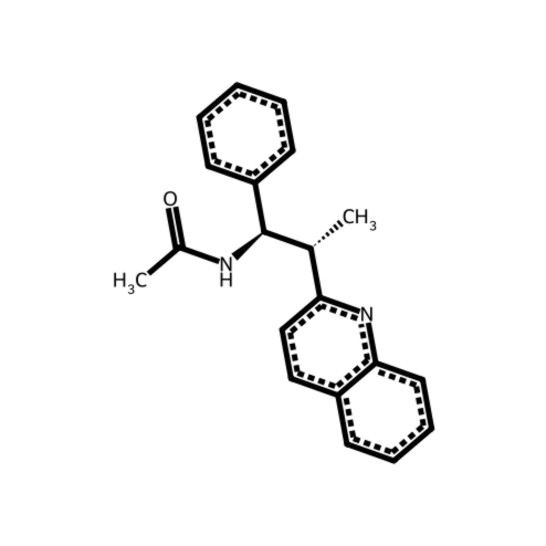 CC(=O)N[C@@H](c1ccccc1)[C@H](C)c1ccc2ccccc2n1